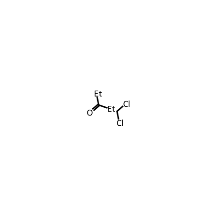 CCC(=O)CC.ClCCl